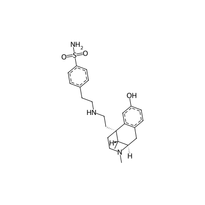 C[C@H]1[C@H]2Cc3ccc(O)cc3[C@]1(CCNCCc1ccc(S(N)(=O)=O)cc1)CCN2C